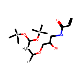 C=CC(=O)NCC(O)COC(CC)[SiH2]C(O[Si](C)(C)C)O[Si](C)(C)C